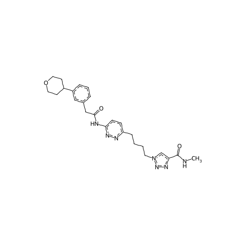 CNC(=O)c1cn(CCCCc2ccc(NC(=O)Cc3cccc(C4CCOCC4)c3)nn2)nn1